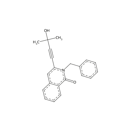 CC(C)(O)C#Cc1cc2ccccc2c(=O)n1Cc1ccccc1